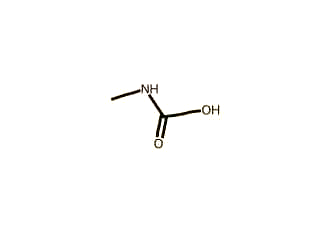 CNC(=O)O